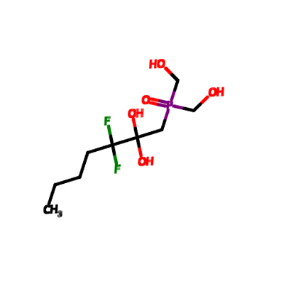 CCCCC(F)(F)C(O)(O)CP(=O)(CO)CO